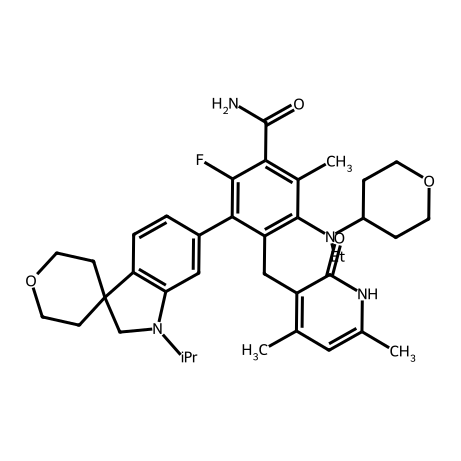 CCN(c1c(C)c(C(N)=O)c(F)c(-c2ccc3c(c2)N(C(C)C)CC32CCOCC2)c1Cc1c(C)cc(C)[nH]c1=O)C1CCOCC1